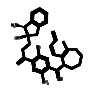 C=C/C=C\C1=C(C)CCCCC1C(=N)c1nc(CC)c(C(=C)CCC2(CCC)Cc3ccccc3[C@H]2N)nc1N